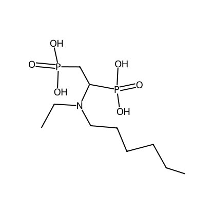 CCCCCCN(CC)C(CP(=O)(O)O)P(=O)(O)O